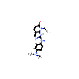 CCn1c(=O)ccc2cnc(Nc3ccc(N(C)C)cc3)nc21